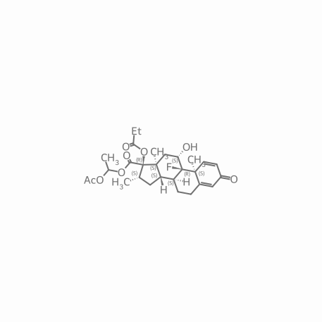 CCC(=O)O[C@]1(C(=O)OC(C)OC(C)=O)[C@@H](C)C[C@H]2[C@@H]3CCC4=CC(=O)C=C[C@]4(C)[C@@]3(F)[C@@H](O)C[C@@]21C